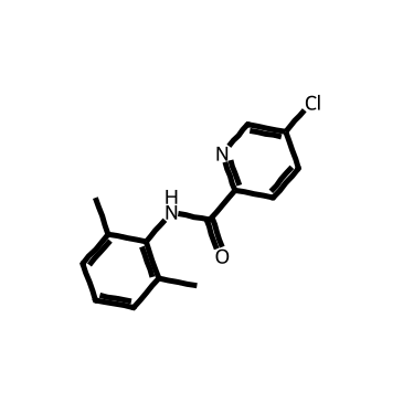 Cc1cccc(C)c1NC(=O)c1ccc(Cl)cn1